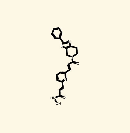 O=C(C=Cc1cccc(C=CC(=O)N2CCc3nc(-c4ccccc4)sc3C2)n1)NO